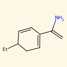 C=C(N)C1=CCC(CC)C=C1